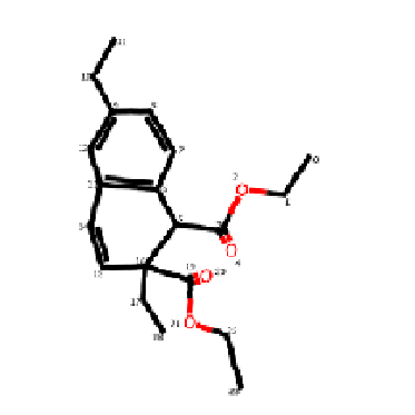 CCOC(=O)C1c2ccc(CC)cc2C=CC1(CC)C(=O)OCC